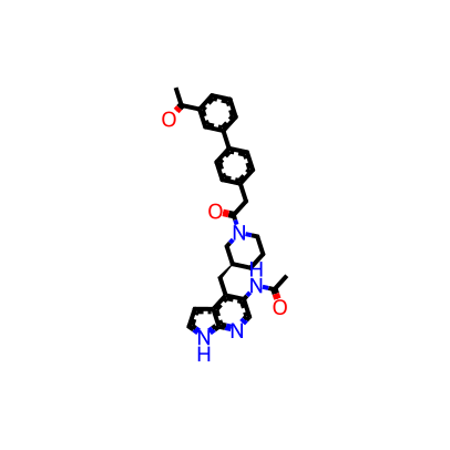 CC(=O)Nc1cnc2[nH]ccc2c1C[C@@H]1CCCN(C(=O)Cc2ccc(-c3cccc(C(C)=O)c3)cc2)C1